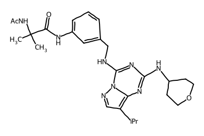 CC(=O)NC(C)(C)C(=O)Nc1cccc(CNc2nc(NC3CCOCC3)nc3c(C(C)C)cnn23)c1